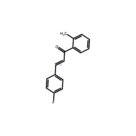 Cc1ccccc1C(=O)/C=C/c1ccc(F)cc1